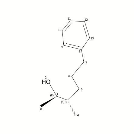 C[C@@H](O)[C@@H](C)CCCc1ccccc1